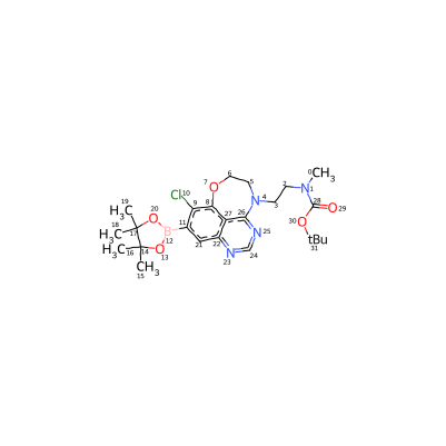 CN(CCN1CCOc2c(Cl)c(B3OC(C)(C)C(C)(C)O3)cc3ncnc1c23)C(=O)OC(C)(C)C